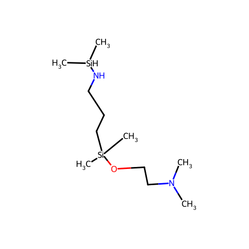 CN(C)CCO[Si](C)(C)CCCN[SiH](C)C